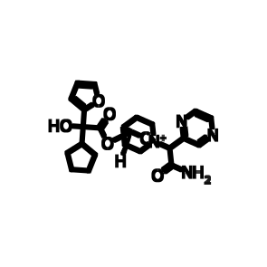 NC(=O)C(c1cnccn1)[N+]12CCC(CC1)[C@@H](OC(=O)C(O)(c1ccco1)C1CCCC1)C2